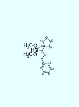 CO[SiH](OC)C(CCc1ccccc1)C1CCCC1